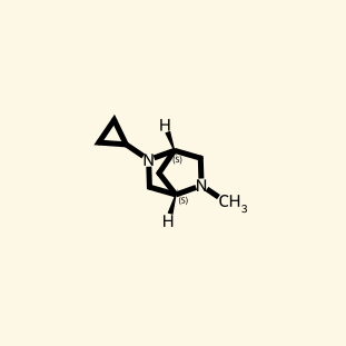 CN1C[C@@H]2C[C@H]1CN2C1CC1